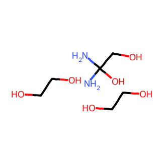 NC(N)(O)CO.OCCO.OCCO